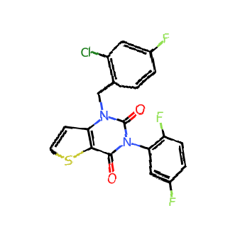 O=c1c2sccc2n(Cc2ccc(F)cc2Cl)c(=O)n1-c1cc(F)ccc1F